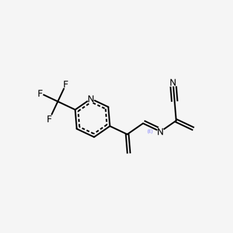 C=C(C#N)/N=C/C(=C)c1ccc(C(F)(F)F)nc1